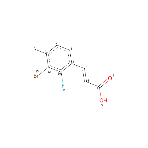 Cc1ccc(/C=C/C(=O)O)c(F)c1Br